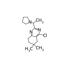 CC(c1nc(Cl)c2c(n1)CCC(C)(C)C2)N1CCCC1